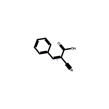 N#C/C(=C/c1ccccc1)C(=O)O